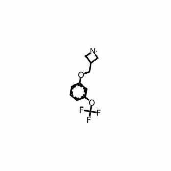 FC(F)(F)Oc1cccc(OCC2C[N]C2)c1